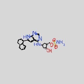 NS(=O)(=O)OC[C@@H]1C[C@@H](Nc2ncnc3[nH]c(-c4cccc5ccccc45)cc23)C[C@@H]1O